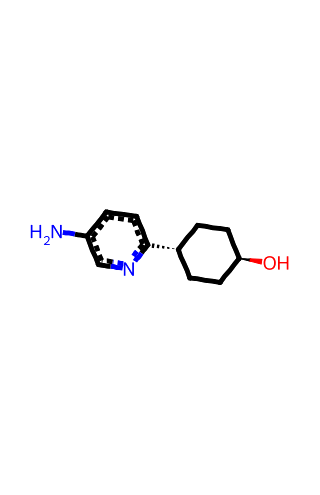 Nc1ccc([C@H]2CC[C@H](O)CC2)nc1